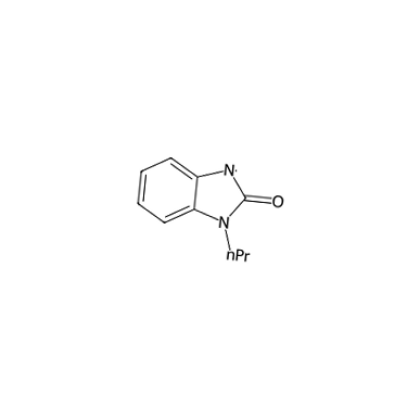 CCCN1C(=O)[N]c2ccccc21